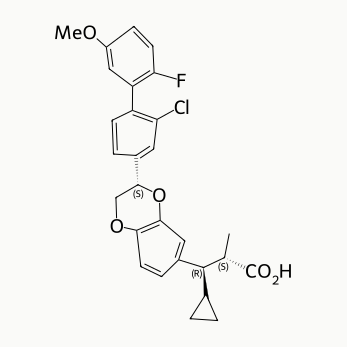 COc1ccc(F)c(-c2ccc([C@H]3COc4ccc([C@H](C5CC5)[C@H](C)C(=O)O)cc4O3)cc2Cl)c1